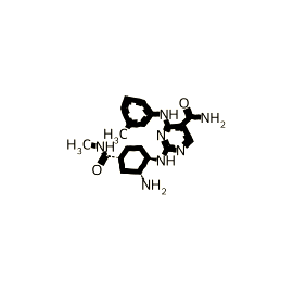 CNC(=O)[C@@H]1CC[C@@H](Nc2ncc(C(N)=O)c(Nc3cccc(C)c3)n2)[C@H](N)C1